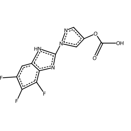 O=C(O)Oc1cnn(-c2nc3c(F)c(F)c(F)cc3[nH]2)c1